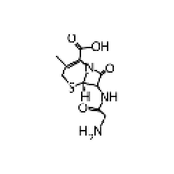 CC1=C(C(=O)O)N2C(=O)C(NC(=O)CN)[C@@H]2SC1